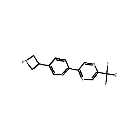 FC(F)(F)c1cnc(-c2ccc(C3CNC3)cc2)cn1